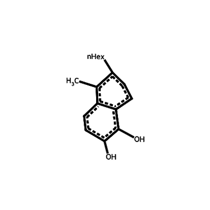 CCCCCCc1ccc2c(O)c(O)ccc2c1C